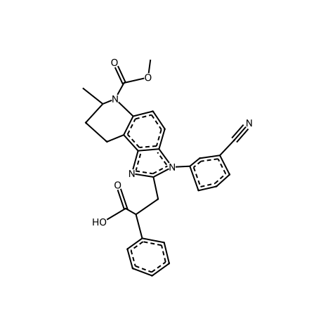 COC(=O)N1c2ccc3c(nc(CC(C(=O)O)c4ccccc4)n3-c3cccc(C#N)c3)c2CCC1C